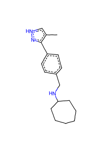 Cc1c[nH]nc1-c1ccc(CNC2CCCCCC2)cc1